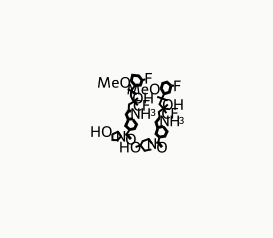 COc1ccc(F)cc1C(C)(C)CC(O)(Cc1cc2cc(C(=O)N3CCC(O)C3)ccc2[nH]1)C(F)(F)F.COc1ccc(F)cc1C(C)(C)CC(O)(Cc1cc2cc(C(=O)N3CCC(O)CC3)ccc2[nH]1)C(F)(F)F